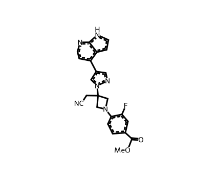 COC(=O)c1ccc(N2CC(CC#N)(n3cc(-c4ccnc5[nH]ccc45)cn3)C2)c(F)c1